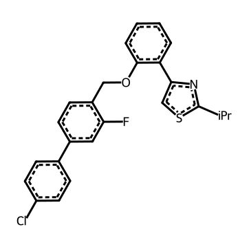 CC(C)c1nc(-c2ccccc2OCc2ccc(-c3ccc(Cl)cc3)cc2F)cs1